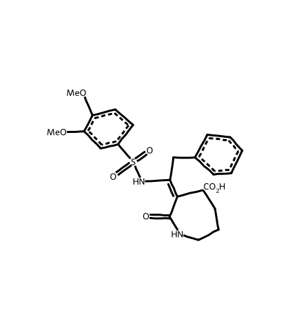 COc1ccc(S(=O)(=O)NC(Cc2ccccc2)=C2C(=O)NCCCC2C(=O)O)cc1OC